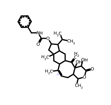 C=C1C2CC3C(C(C)C)C(OC(=O)NCc4ccccc4)CC3(C)CC2/C(C)=C\CC2C(C)OC(=O)C(O)C12O